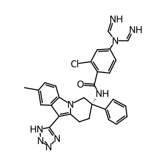 Cc1ccc2c(c1)c(-c1nnn[nH]1)c1n2C[C@@](NC(=O)c2ccc(N(C=N)C=N)cc2Cl)(c2ccccc2)CC1